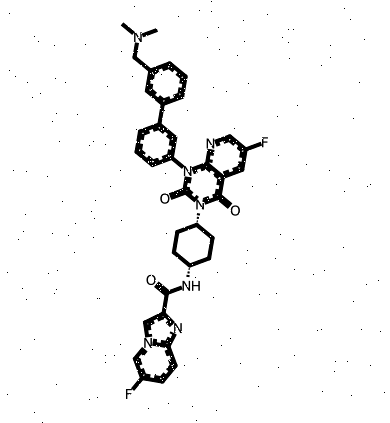 CN(C)Cc1cccc(-c2cccc(-n3c(=O)n([C@H]4CC[C@@H](NC(=O)c5cn6cc(F)ccc6n5)CC4)c(=O)c4cc(F)cnc43)c2)c1